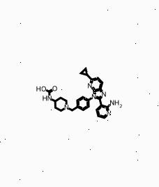 Nc1ncccc1-c1nc2ccc(C3CC3)nc2n1-c1ccc(CN2CCC(NC(=O)O)CC2)cc1